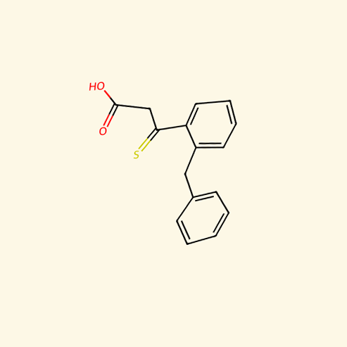 O=C(O)CC(=S)c1ccccc1Cc1ccccc1